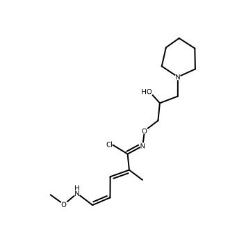 CON\C=C/C=C(C)/C(Cl)=N/OCC(O)CN1CCCCC1